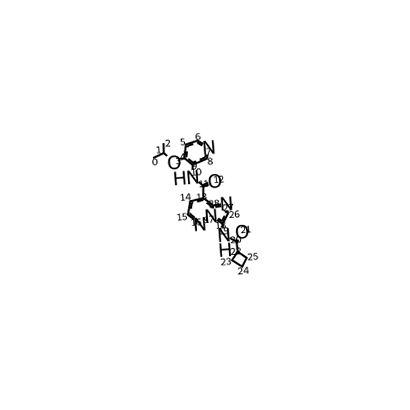 CC(C)Oc1ccncc1NC(=O)c1ccnn2c(NC(=O)C3CCC3)cnc12